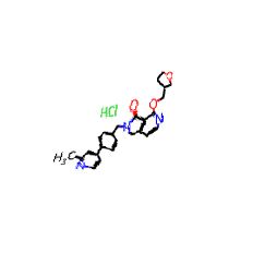 Cc1cc(-c2ccc(CN3Cc4ccnc(OCC5CCOC5)c4C3=O)cc2)ccn1.Cl